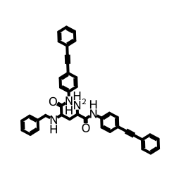 NC(CC(NCc1ccccc1)C(=O)Nc1ccc(C#Cc2ccccc2)cc1)C(=O)Nc1ccc(C#Cc2ccccc2)cc1